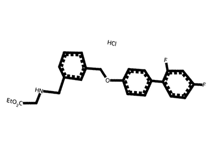 CCOC(=O)CNCc1cccc(COc2ccc(-c3ccc(F)cc3F)cc2)c1.Cl